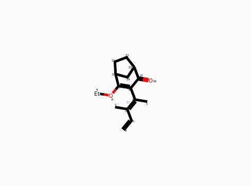 C=C/C(C)=C(\C)C1=C(OCC)C2CCC(C2)C1=O